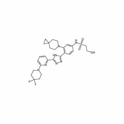 O=S(=O)(CCO)Nc1ccc(-c2nnc(-c3cccc(N4CCC(F)(F)CC4)n3)[nH]2)c(N2CCC3(CC2)CC3)c1